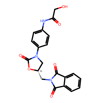 O=C(CO)Nc1ccc(N2C[C@H](CN3C(=O)c4ccccc4C3=O)OC2=O)cc1